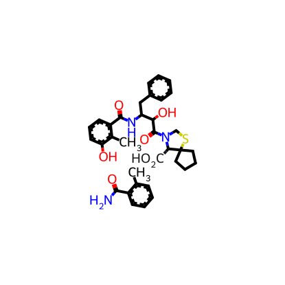 Cc1c(O)cccc1C(=O)NC(Cc1ccccc1)C(O)C(=O)N1CSC2(CCCC2)C1C(=O)O.Cc1ccccc1C(N)=O